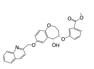 COC(=O)c1cccc(O[C@H]2CCOc3ccc(OCc4ccc5ccccc5n4)cc3[C@H]2O)c1